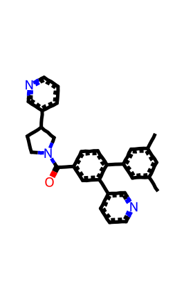 Cc1cc(C)cc(-c2ccc(C(=O)N3CCC(c4cccnc4)C3)cc2-c2cccnc2)c1